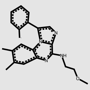 [CH2]c1ccccc1-c1cnc2c(NCCOC)nc3cc(C)c(C)cc3n12